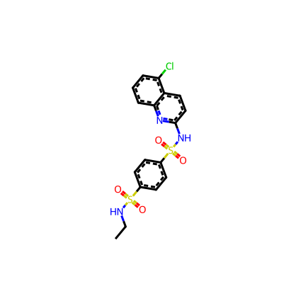 CCNS(=O)(=O)c1ccc(S(=O)(=O)Nc2ccc3c(Cl)cccc3n2)cc1